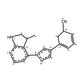 CC1CNc2nccc(-n3cc(C4=CC=CC(C#N)C4)cn3)c21